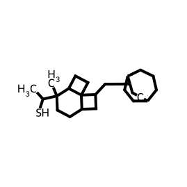 CC(S)C1(C)CCC2CC(CC3CCC4CCCC3CC4)C23CCC13